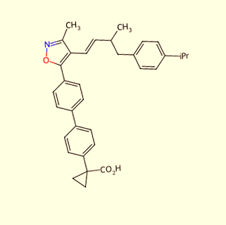 Cc1noc(-c2ccc(-c3ccc(C4(C(=O)O)CC4)cc3)cc2)c1C=CC(C)Cc1ccc(C(C)C)cc1